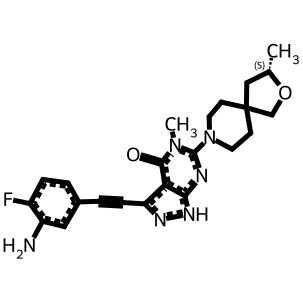 C[C@H]1CC2(CCN(c3nc4[nH]nc(C#Cc5ccc(F)c(N)c5)c4c(=O)n3C)CC2)CO1